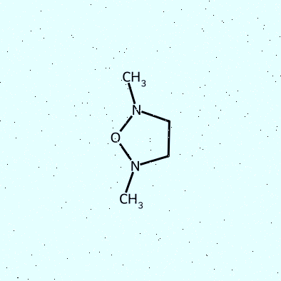 CN1CCN(C)O1